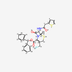 O=C(Cc1cccs1)NC1C(=O)N2C(C(=O)OC(c3ccccc3)c3ccccc3)=C(CF)CS[C@@H]12